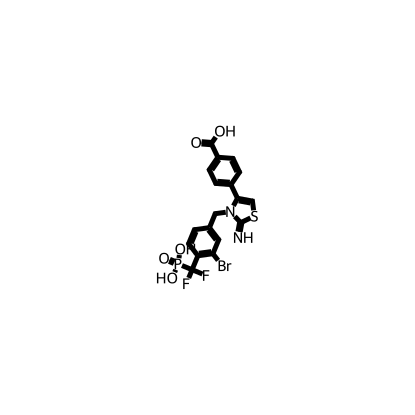 N=c1scc(-c2ccc(C(=O)O)cc2)n1Cc1ccc(C(F)(F)P(=O)(O)O)c(Br)c1